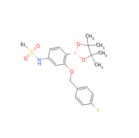 CCS(=O)(=O)Nc1ccc(B2OC(C)(C)C(C)(C)O2)c(OCc2ccc(F)cc2)c1